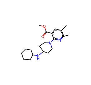 COC(=O)c1cc(C)c(C)nc1N1CCC(NC2CCCCC2)CC1